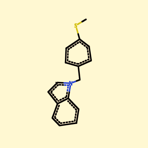 CSc1ccc(Cn2[c]cc3ccccc32)cc1